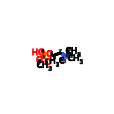 COP(=O)(O)OCC[N+](C)(C)C